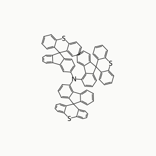 c1ccc2c(c1)Sc1ccccc1C21c2ccccc2-c2cc(N(c3cccc4c3-c3ccccc3C43c4ccccc4Sc4ccccc43)c3cccc4c3-c3ccccc3C43c4ccccc4Sc4ccccc43)ccc21